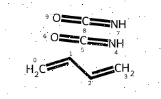 C=CC=C.N=C=O.N=C=O